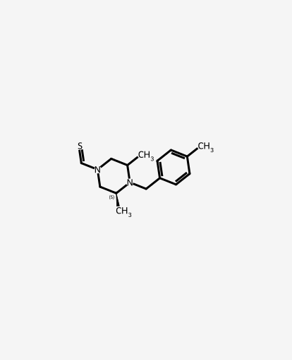 Cc1ccc(CN2C(C)CN(C=S)C[C@@H]2C)cc1